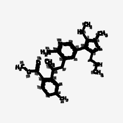 CNCc1nn(C)c(NC)c1-c1cnc(N)c(CC(C)c2cc(C)ccc2C(=O)OC)c1